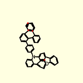 c1ccc(-c2ccccc2-c2c(-c3ccccc3)cccc2-c2ccc(N(c3ccc4c(c3)oc3ccccc34)c3ccccc3-c3ccccc3)cc2)cc1